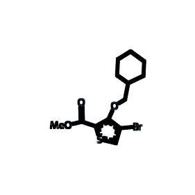 COC(=O)c1scc(Br)c1OCC1CCCCC1